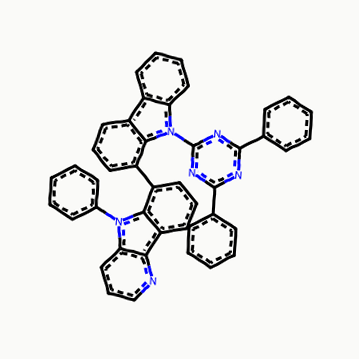 c1ccc(-c2nc(-c3ccccc3)nc(-n3c4ccccc4c4cccc(-c5cccc6c7ncccc7n(-c7ccccc7)c56)c43)n2)cc1